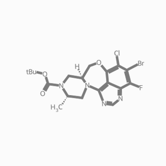 C[C@H]1CN2c3ncnc4c(F)c(Br)c(Cl)c(c34)OC[C@@H]2CN1C(=O)OC(C)(C)C